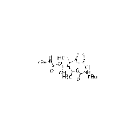 CCCCNC(=O)OC(C)N(C(C)OC(=O)NCCCC)C(CO)c1cccc(Cl)c1